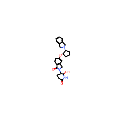 O=C1CCC(N2Cc3cc(O[C@@H]4CCC[C@H]4N4Cc5ccccc5C4)ccc3C2=O)C(O)N1